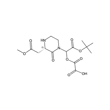 COC(=O)C[C@@H]1NCCN(C(OC(=O)C(=O)O)C(=O)OC(C)(C)C)C1=O